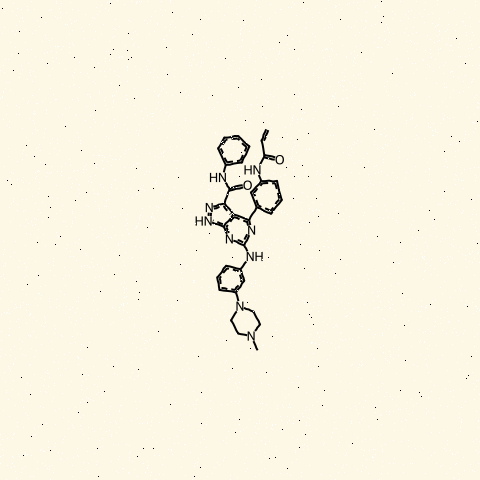 C=CC(=O)Nc1cccc(-c2nc(Nc3cccc(N4CCN(C)CC4)c3)nc3[nH]nc(C(=O)Nc4ccccc4)c23)c1